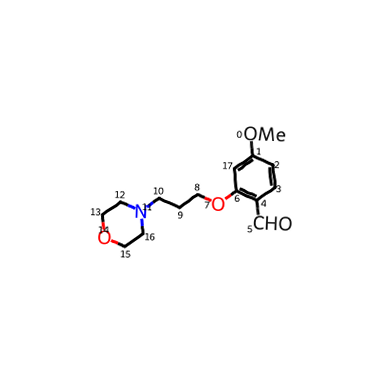 COc1ccc(C=O)c(OCCCN2CCOCC2)c1